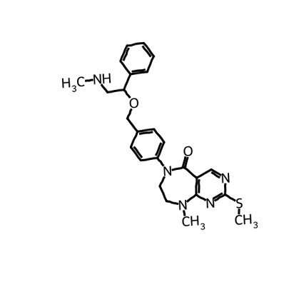 CNCC(OCc1ccc(N2CCN(C)c3nc(SC)ncc3C2=O)cc1)c1ccccc1